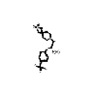 C[C@@H](CN1CCC2(CC1)CS(=O)(=O)C2)Oc1ccc(C(F)(F)F)cc1